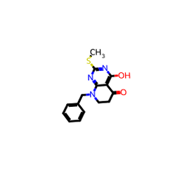 CSc1nc(O)c2c(n1)N(Cc1ccccc1)CCC2=O